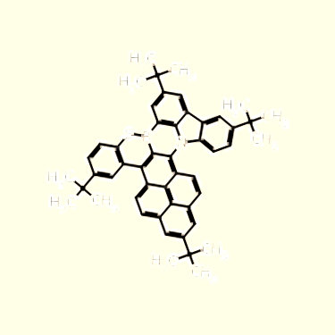 CC(C)(C)c1ccc2c(c1)-c1c3c(c4ccc5cc(C(C)(C)C)cc6ccc1c4c65)-n1c4ccc(C(C)(C)C)cc4c4cc(C(C)(C)C)cc(c41)B3S2